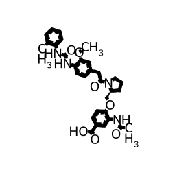 COc1cc(CC(=O)N2CCC[C@H]2COc2ccc(C(=O)O)cc2NC(C)=O)ccc1NC(=O)Nc1ccccc1C